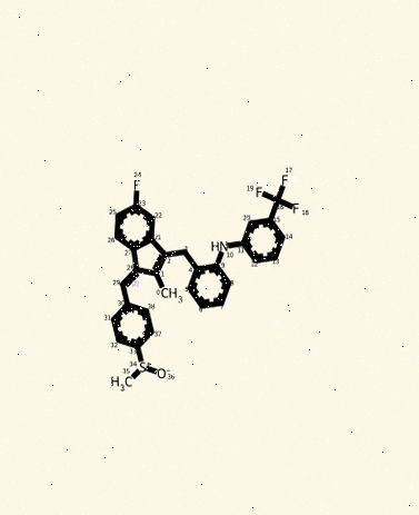 CC1=C(Cc2ccccc2Nc2cccc(C(F)(F)F)c2)c2cc(F)ccc2/C1=C/c1ccc([S+](C)[O-])cc1